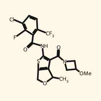 COC1CN(C(=O)c2c(NC(=O)c3c(C(F)(F)F)ccc(Cl)c3F)sc3c2C(C)OC3)C1